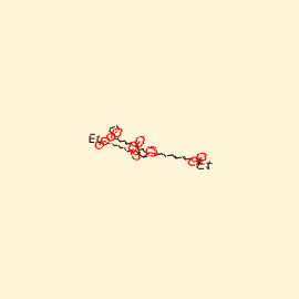 CCC(=O)OCCCCCCCCOc1ccc(OCCCCCCCCOC(=O)CC)c(C(=O)OCCCCCCOC2CCCCO2)c1